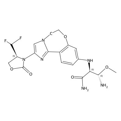 CO[C@H](N)[C@H](Nc1ccc2c(c1)OCCn1cc(N3C(=O)OC[C@H]3C(F)F)nc1-2)C(N)=O